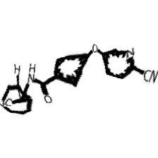 N#Cc1ccc(Oc2ccc(C(=O)N[C@H]3CN4CCC3CC4)cc2)cn1